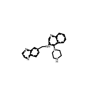 c1ccc2c(N3CCNCC3)c(NCc3ccc4nccnc4c3)cnc2c1